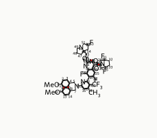 COc1ccc(CN(Cc2ccc(OC)cc2)c2cc(C)c(C(F)(F)F)c(-c3c(F)cc4c(N5CC6(F)CCC(F)(C5)N6C(=O)OC(C)(C)C)nc(OC[C@@]56CCCN5C[C@H](F)C6)nc4c3F)n2)cc1